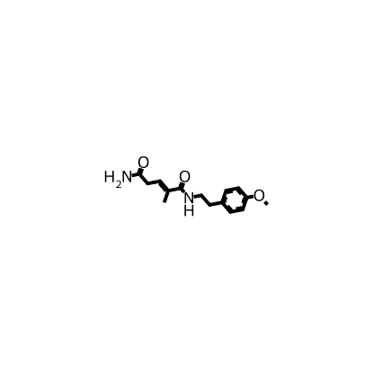 COc1ccc(CCNC(=O)/C(C)=C/CC(N)=O)cc1